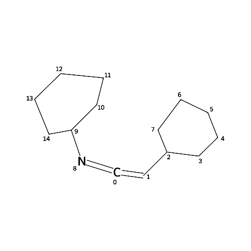 C(=CC1CCCCC1)=NC1CCCCC1